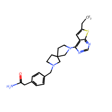 NC(=O)Cc1ccc(CN2CCC3(CCN(c4ncnc5sc(CC(F)(F)F)cc45)C3)C2)cc1